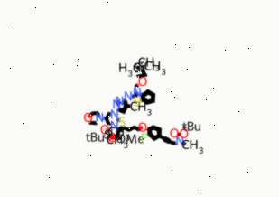 COC(=O)c1nc(N(CC(CO[Si](C)(C)C(C)(C)C)N2CCOCC2)c2cc(C)c(/N=c3\sc4ccccc4n3COCC[Si](C)(C)C)nn2)sc1CCCOc1ccc(C#CCN(C)C(=O)OC(C)(C)C)cc1F